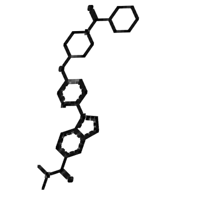 CN(C)C(=O)c1ccc2c(ccn2-c2ccc(OC3CCN(C(=O)C4CCCCC4)CC3)cn2)c1